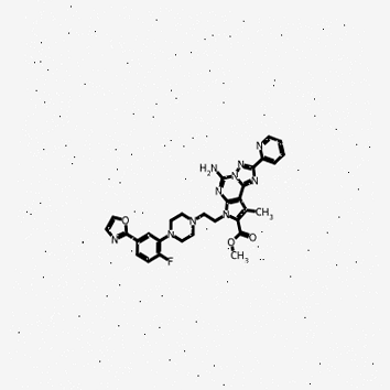 COC(=O)c1c(C)c2c(nc(N)n3nc(-c4ccccn4)nc23)n1CCN1CCN(c2cc(-c3ncco3)ccc2F)CC1